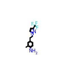 Cc1cc(CCn2ccc(C(F)(F)F)n2)ccc1N